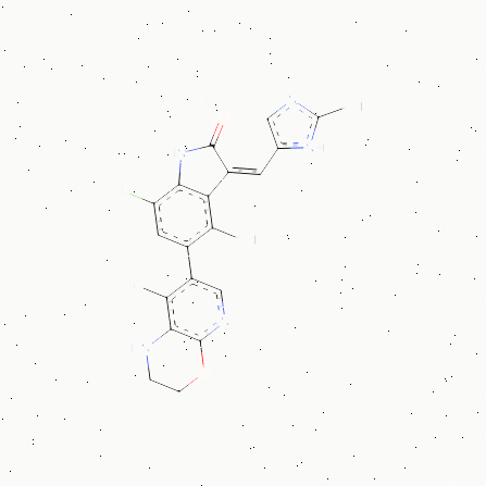 Cc1ncc(C=C2C(=O)Nc3c(F)cc(-c4cnc5c(c4C)NCCO5)c(C)c32)[nH]1